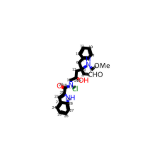 COCNC(CC=O)(Cc1ccccc1)CC(O)CN(Cl)C(=O)c1cc2ccccc2[nH]1